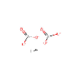 [Hf+4].[O]=[Zr]([O-])[O-].[O]=[Zr]([O-])[O-]